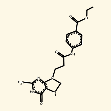 CCOC(=O)c1ccc(NC(=O)CCN2CNc3c2nc(N)[nH]c3=O)cc1